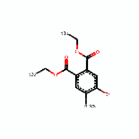 CCCCCCc1cc(C(=O)OCC(C)(C)C)c(C(=O)OCC(C)(C)C)cc1Br